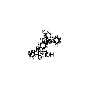 CC[C@@](CO)(NC(=O)c1csnn1)c1cc(F)c(CN2[C@@H](C)CC[C@H](c3ccccc3)S2(=O)=O)cc1F